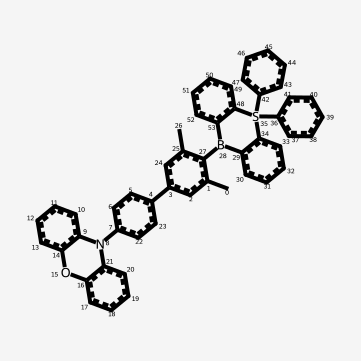 Cc1cc(-c2ccc(N3c4ccccc4Oc4ccccc43)cc2)cc(C)c1B1c2ccccc2S(c2ccccc2)(c2ccccc2)c2ccccc21